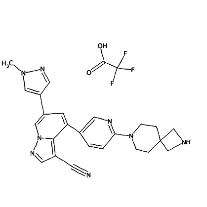 Cn1cc(-c2cc(-c3ccc(N4CCC5(CC4)CNC5)nc3)c3c(C#N)cnn3c2)cn1.O=C(O)C(F)(F)F